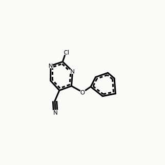 N#Cc1cnc(Cl)nc1Oc1ccccc1